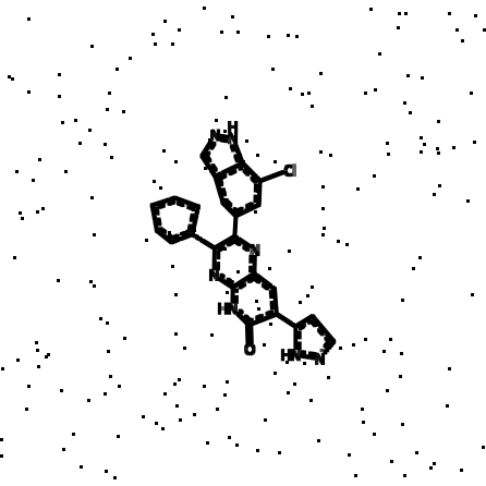 O=c1[nH]c2nc(-c3ccccc3)c(-c3cc(Cl)c4[nH]ncc4c3)nc2cc1-c1ccn[nH]1